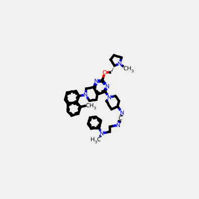 Cc1cccc2cccc(N3CCc4c(nc(OC[C@@H]5CCCN5C)nc4N4CCC(N=C=NCCN(C)c5ccccc5)CC4)C3)c12